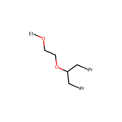 [CH2]COCCOC(CC(C)C)CC(C)C